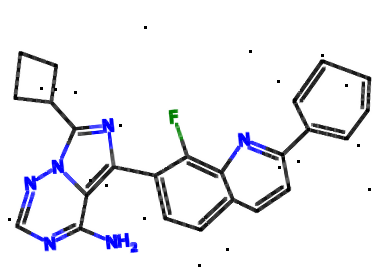 Nc1ncnn2c(C3CCC3)nc(-c3ccc4ccc(-c5ccccc5)nc4c3F)c12